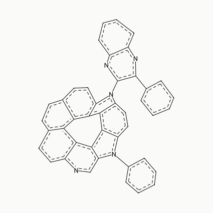 c1ccc(-c2nc3ccccc3nc2-n2c3ccc4ccc5ccc6ncc7c8c6c5c4c3c3c8c(ccc32)n7-c2ccccc2)cc1